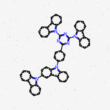 c1ccc2c(c1)c1ccccc1n2-c1ccc2c(c1)c1ccccc1n2-c1ccc(-c2nc(-n3c4ccccc4c4ccccc43)nc(-n3c4ccccc4c4ccccc43)n2)cc1